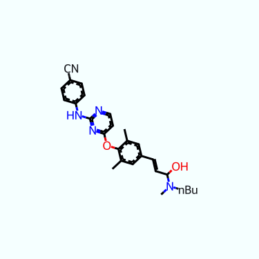 CCCCN(C)C(O)/C=C/c1cc(C)c(Oc2ccnc(Nc3ccc(C#N)cc3)n2)c(C)c1